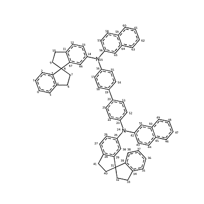 c1ccc2c(c1)CCC21CCc2ccc(N(c3ccc(-c4ccc(N(c5ccc6c(c5)C5(CCc7ccccc75)CC6)c5ccc6ccccc6c5)cc4)cc3)c3ccc4ccccc4c3)cc21